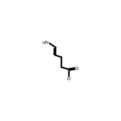 CCCC=CCCC([O])=O